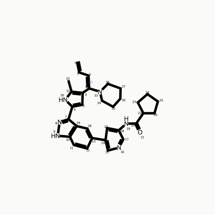 C=C/C=C(\c1cc(-c2n[nH]c3ccc(-c4cncc(NC(=O)C5CCCC5)c4)cc23)[nH]c1C)N1CCCCC1